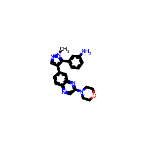 Cn1ncc(-c2ccc3ncc(N4CCOCC4)nc3c2)c1-c1cccc(N)c1